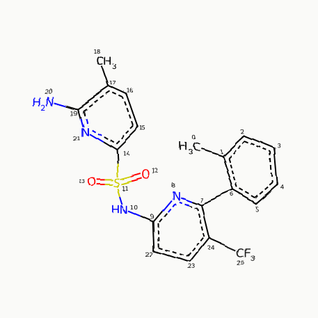 Cc1ccccc1-c1nc(NS(=O)(=O)c2ccc(C)c(N)n2)ccc1C(F)(F)F